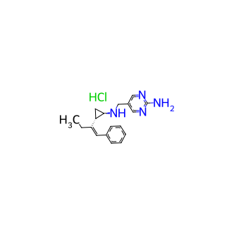 CCC(=Cc1ccccc1)[C@@H]1C[C@H]1NCc1cnc(N)nc1.Cl